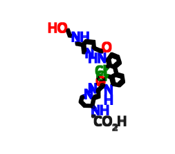 O=C(O)CNC1CCCn2nc(C(=O)Nc3cccc(-c4cccc(NC(=O)c5ccc(CNCCO)cn5)c4Cl)c3Cl)cc21